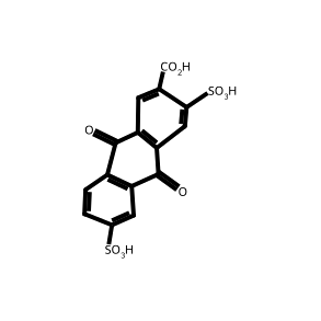 O=C1c2ccc(S(=O)(=O)O)cc2C(=O)c2cc(S(=O)(=O)O)c(C(=O)O)cc21